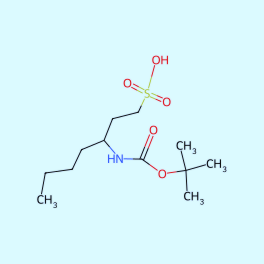 CCCCC(CCS(=O)(=O)O)NC(=O)OC(C)(C)C